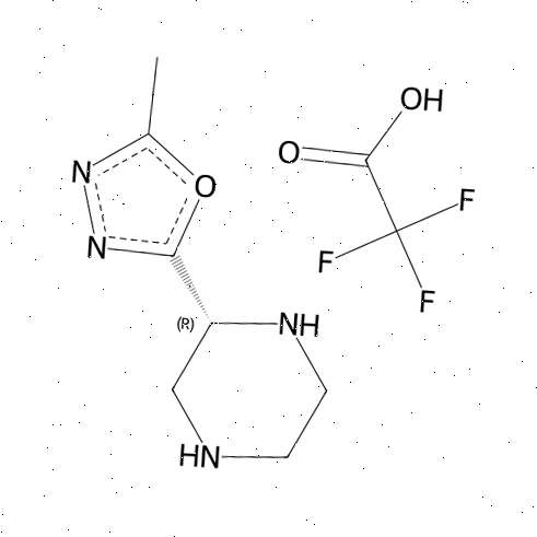 Cc1nnc([C@H]2CNCCN2)o1.O=C(O)C(F)(F)F